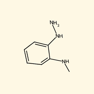 CNc1ccccc1NN